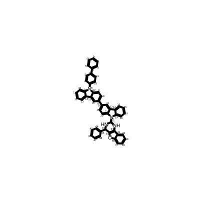 c1ccc(-c2ccc(-n3c4ccccc4c4cc(-c5ccc6c(c5)c5ccccc5n6C5Nc6c(oc7ccccc67)C(c6ccccc6)N5)ccc43)cc2)cc1